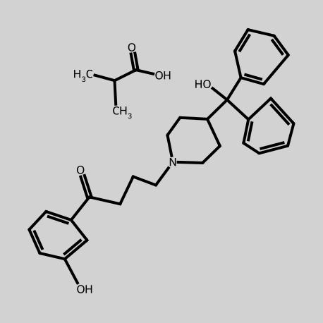 CC(C)C(=O)O.O=C(CCCN1CCC(C(O)(c2ccccc2)c2ccccc2)CC1)c1cccc(O)c1